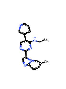 CC(C)(C)CNc1nc(-c2cnc3ccc(C#N)cn23)ncc1-c1cccnc1